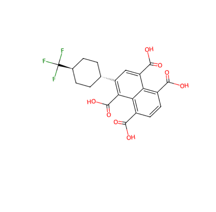 O=C(O)c1ccc(C(=O)O)c2c(C(=O)O)c([C@H]3CC[C@H](C(F)(F)F)CC3)cc(C(=O)O)c12